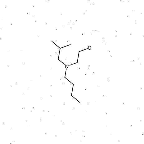 CCCCN(CC[O])CC(C)C